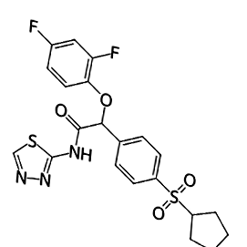 O=C(Nc1nncs1)C(Oc1ccc(F)cc1F)c1ccc(S(=O)(=O)C2CCCC2)cc1